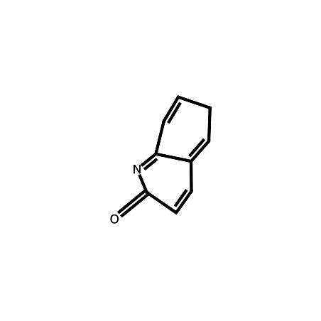 O=C1C=CC2=CCC=CC2=N1